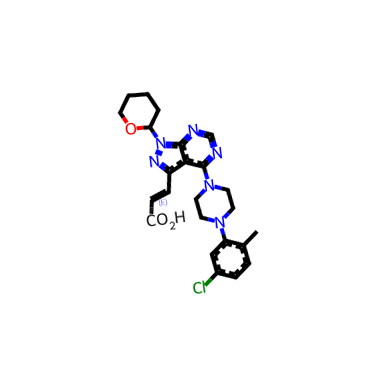 Cc1ccc(Cl)cc1N1CCN(c2ncnc3c2c(/C=C/C(=O)O)nn3C2CCCCO2)CC1